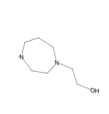 OCCN1CCC[N]CC1